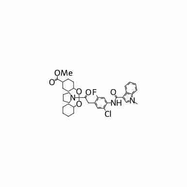 COC(=O)C1CCC(OC(OC2CCCCC2)(C(=O)Cc2cc(Cl)c(NC(=O)c3cn(C)c4ccccc34)cc2F)N2CCCC2)CC1